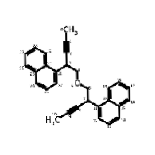 CC#CC(COCC(C#CC)c1cccc2ccccc12)c1cccc2ccccc12